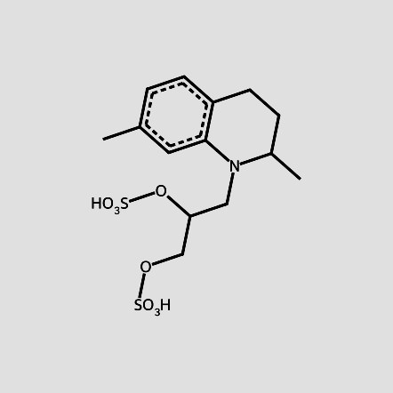 Cc1ccc2c(c1)N(CC(COS(=O)(=O)O)OS(=O)(=O)O)C(C)CC2